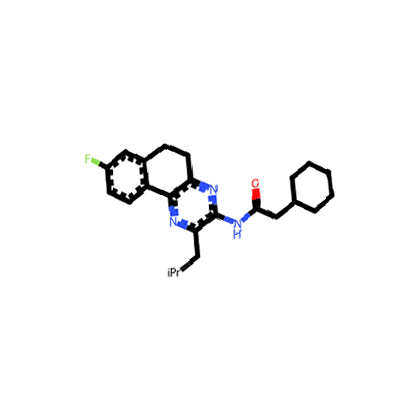 CC(C)Cc1nc2c(nc1NC(=O)CC1CCCCC1)CCc1cc(F)ccc1-2